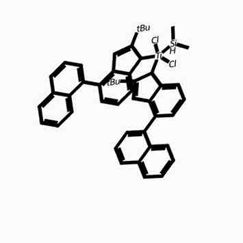 C[SiH](C)[Ti]([Cl])([Cl])([CH]1C(C(C)(C)C)=Cc2c(-c3cccc4ccccc34)cccc21)[CH]1C(C(C)(C)C)=Cc2c(-c3cccc4ccccc34)cccc21